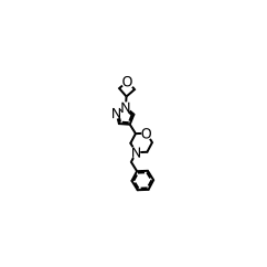 c1ccc(CN2CCOC(c3cnn(C4COC4)c3)C2)cc1